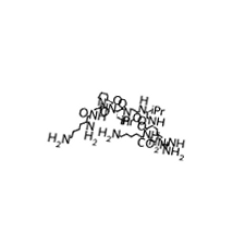 CC(C)C[C@H](NC(=O)[C@@H]1CCCN1C(=O)CNC(=O)[C@@H](N)CCCCN)C(=O)NCC(=O)N[C@H](C(=O)N[C@@H](CCCNC(=N)N)C(=O)N[C@@H](CCCCN)C(=O)O)C(C)C